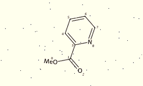 [CH2]OC(=O)c1ccccn1